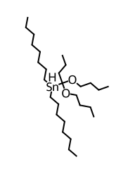 CCCCCCC[CH2][SnH]([CH2]CCCCCCC)[C](CCC)(OCCCC)OCCCC